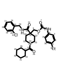 CCc1ccc(NC(=O)OCC2(C(=O)NCc3ccccc3Cl)CCN(C(=O)C3CCCCC3)CC2)cc1